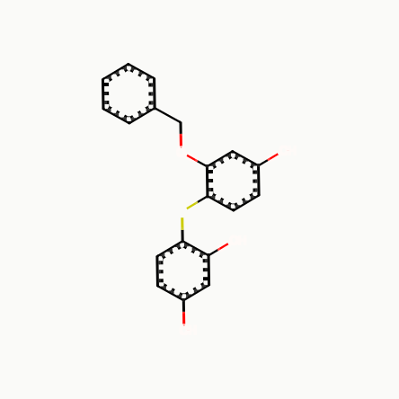 Oc1ccc(Sc2ccc(O)cc2OCc2ccccc2)c(O)c1